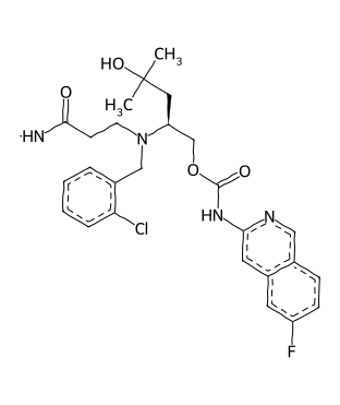 CC(C)(O)C[C@@H](COC(=O)Nc1cc2cc(F)ccc2cn1)N(CCC([NH])=O)Cc1ccccc1Cl